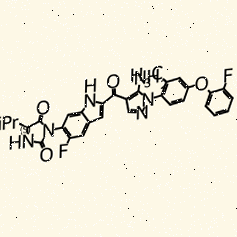 Cc1cc(Oc2ccccc2F)ccc1-n1ncc(C(=O)c2cc3cc(F)c(N4C(=O)N[C@@H](C(C)C)C4=O)cc3[nH]2)c1N